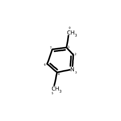 Cc1[c]nc(C)cc1